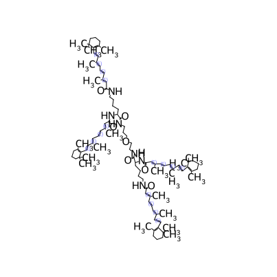 CC1=C(/C=C/C(C)=C/C=C/C(C)=C/C(=O)NCCCCC(NC(=O)/C=C(C)/C=C/C=C(C)/C=C/C2=C(C)CCCC2(C)C)C(=O)NCCCOCCNC(=O)C(CCCCNC(=O)/C=C(C)/C=C/C=C(C)/C=C/C2=C(C)CCCC2(C)C)NC(=O)/C=C(C)/C=C/C=C(C)/C=C/C2=C(C)CCCC2(C)C)C(C)(C)CCC1